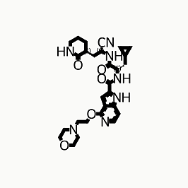 N#C[C@H](C[C@@H]1CCCNC1=O)NC(=O)[C@H](CC1CC1)NC(=O)c1cc2c(OCCN3CCOCC3)nccc2[nH]1